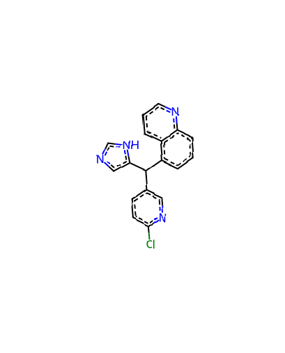 Clc1ccc(C(c2cnc[nH]2)c2cccc3ncccc23)cn1